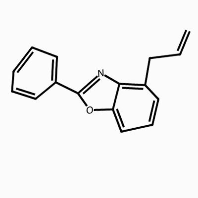 C=CCc1cccc2oc(-c3ccccc3)nc12